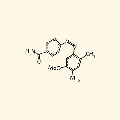 COc1cc(/N=N\c2ccc(C(N)=O)cc2)c(C)cc1N